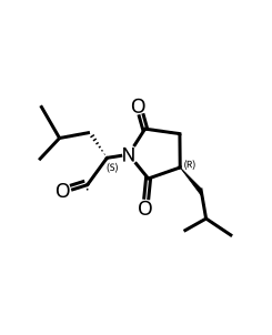 CC(C)C[C@@H]1CC(=O)N([C@H]([C]=O)CC(C)C)C1=O